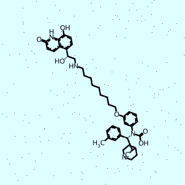 Cc1cccc([C@@H](C2CN3CCC2CC3)N(C(=O)O)c2cccc(OCCCCCCCCCNC[C@H](O)c3ccc(O)c4[nH]c(=O)ccc34)c2)c1